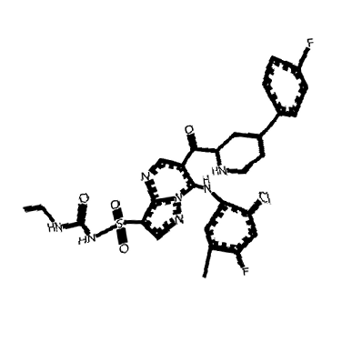 CCNC(=O)NS(=O)(=O)c1cnn2c(Nc3cc(C)c(F)cc3Cl)c(C(=O)C3CC(c4ccc(F)cc4)CCN3)cnc12